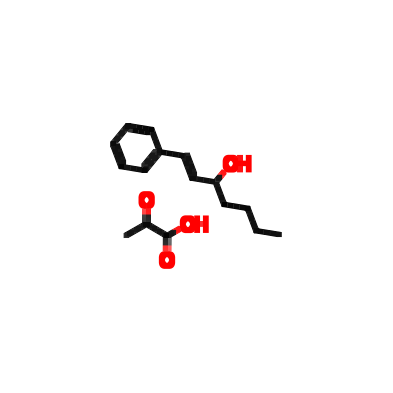 CC(=O)C(=O)O.CCCCC(O)C=Cc1ccccc1